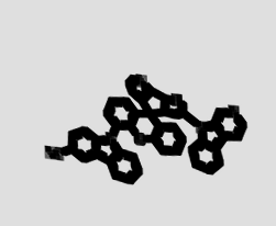 N#Cc1ccc2c(c1)c1ccccc1n2-c1cccc2c1Oc1ccccc1C21c2cccnc2-c2ncc(-n3c4ccccc4c4ccncc43)cc21